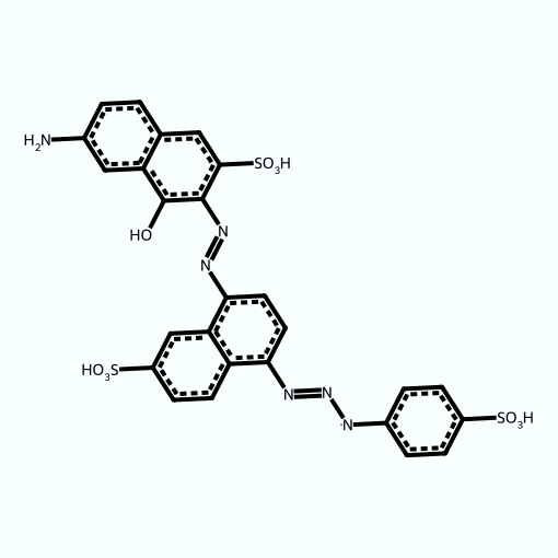 Nc1ccc2cc(S(=O)(=O)O)c(N=Nc3ccc(N=N[N]c4ccc(S(=O)(=O)O)cc4)c4ccc(S(=O)(=O)O)cc34)c(O)c2c1